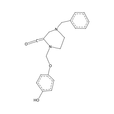 O=C=C1CN(Cc2ccccc2)CCN1COc1ccc(O)cc1